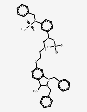 CC[Si](CC)(CC)O[C@@H](CNCCOc1ccc2c(c1)N(Cc1ccccc1)N(Cc1ccccc1)C2C)c1cccc(N(Cc2ccccc2)S(C)(=O)=O)c1